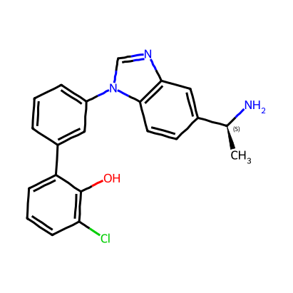 C[C@H](N)c1ccc2c(c1)ncn2-c1cccc(-c2cccc(Cl)c2O)c1